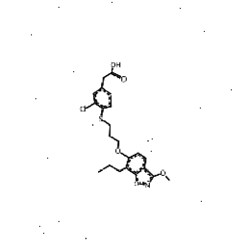 CCCc1c(OCCCSc2ccc(CC(=O)O)cc2Cl)ccc2c(OC)noc12